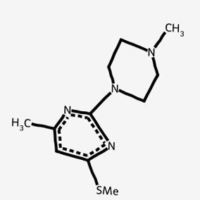 CSc1cc(C)nc(N2CCN(C)CC2)n1